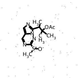 CC(=O)OC(C)(C)C(C)c1ncc2cnc([S+](C)[O-])nn12